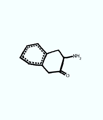 NC1Cc2ccccc2CC1=O